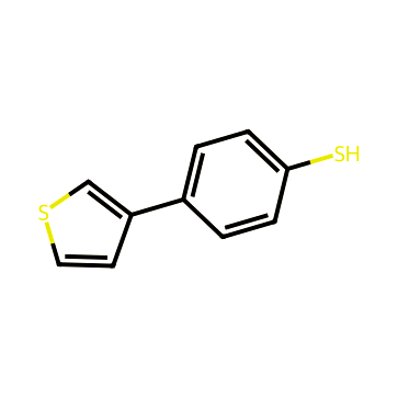 Sc1ccc(-c2ccsc2)cc1